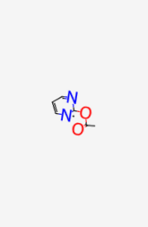 CC(=O)OC1[N]C=CC=N1